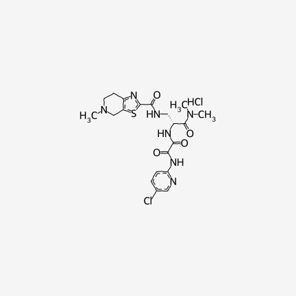 CN1CCc2nc(C(=O)NC[C@@H](NC(=O)C(=O)Nc3ccc(Cl)cn3)C(=O)N(C)C)sc2C1.Cl